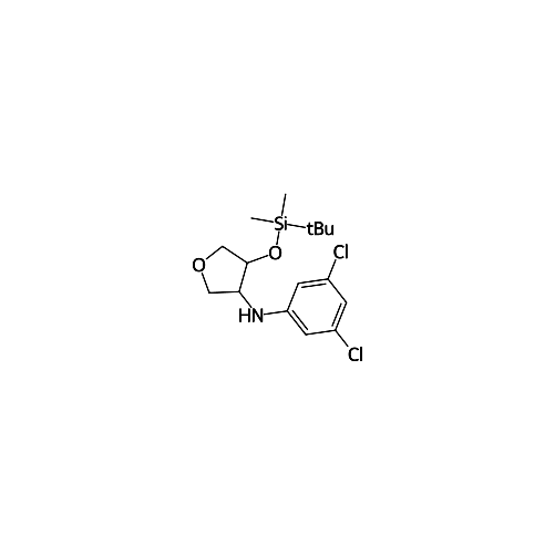 CC(C)(C)[Si](C)(C)OC1COCC1Nc1cc(Cl)cc(Cl)c1